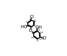 Oc1cc(Cl)ccc1Oc1ccc(Cl)cc1O